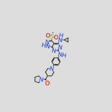 CS(=O)(=O)c1n[nH]c2nc(Nc3ccc(N4CCC(C(=O)N5CCCC5)CC4)cc3)nc(NC3CC3)c12